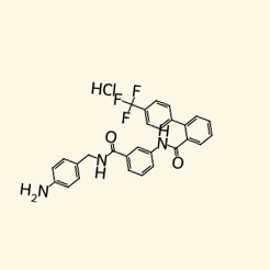 Cl.Nc1ccc(CNC(=O)c2cccc(NC(=O)c3ccccc3-c3ccc(C(F)(F)F)cc3)c2)cc1